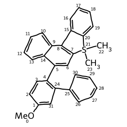 COc1ccc(-c2cc3c(c4ccccc24)-c2ccccc2S3(C)C)c(-c2ccccc2)c1